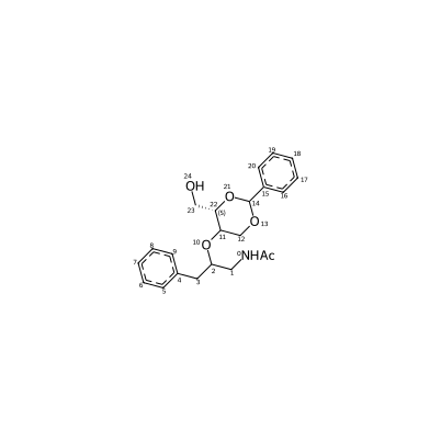 CC(=O)NCC(Cc1ccccc1)OC1COC(c2ccccc2)O[C@H]1CO